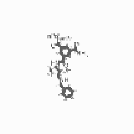 CCCN(CCC)C(=O)c1cc(C(N)=O)cc(C(=O)N[C@@H](CC(C)C)[C@H](O)CNCc2ccccc2)c1